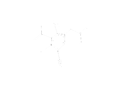 C=C(C)c1c(N)c(CC(C)C)cc(C#N)c1F